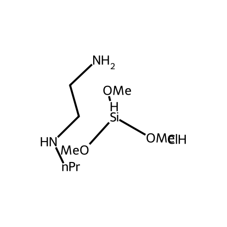 CCCNCCN.CO[SiH](OC)OC.Cl